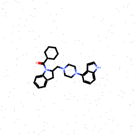 O=C(C1CCCCC1)N1c2ccccc2CC1CN1CCN(c2cccc3[nH]ccc23)CC1